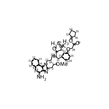 COCCc1nc2c(N)nc3ccccc3c2n1CCCN(Cc1cccc(OCC(=O)OC2CCCC2)c1)C(=O)CN(C)C